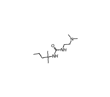 CCCC(C)(C)NC(=O)NCCN(C)C